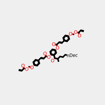 C=CC(=O)OCOc1ccc(C=CC(=O)Oc2ccc(OC(=O)C=Cc3ccc(OCOC(=O)C=C)cc3)c(C(=O)C(C)CCCCCCCCCCCCC)c2)cc1